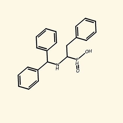 O=[PH](O)C(Cc1ccccc1)NC(c1ccccc1)c1ccccc1